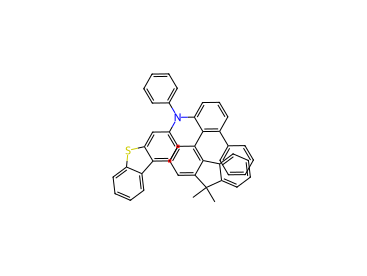 CC1(C)c2ccccc2-c2c(-c3c(-c4ccccc4)cccc3N(c3ccccc3)c3ccc4c(c3)sc3ccccc34)cccc21